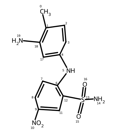 Cc1ccc(Nc2ccc([N+](=O)[O-])cc2S(N)(=O)=O)cc1N